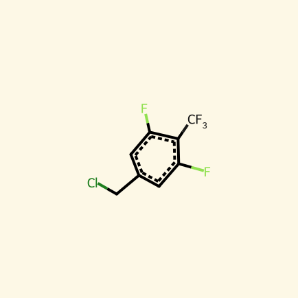 Fc1cc(CCl)cc(F)c1C(F)(F)F